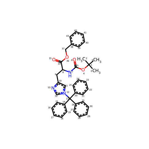 CC(C)(C)OC(=O)NC(Cc1cn(C(c2ccccc2)(c2ccccc2)c2ccccc2)cn1)C(=O)OCc1ccccc1